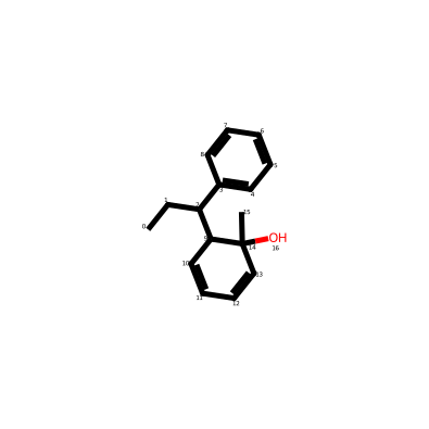 CCC(c1ccccc1)C1C=CC=CC1(C)O